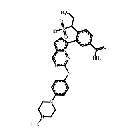 CCC(c1ccc(C(N)=O)cc1-c1ccc2cnc(Nc3ccc(N4CCN(C)CC4)cc3)nn12)S(=O)(=O)O